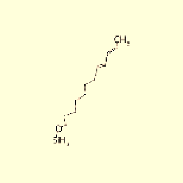 CC=CC=CCCCCCCCO[SiH3]